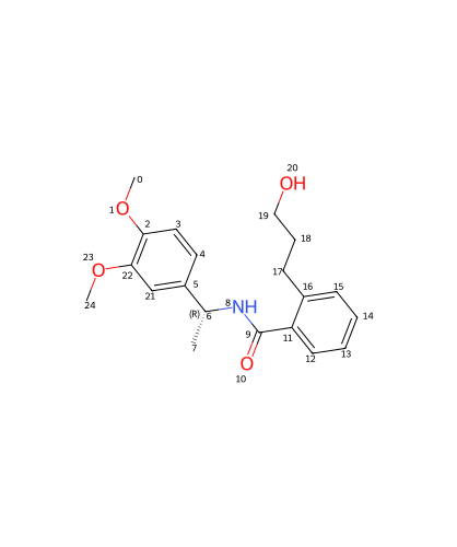 COc1ccc([C@@H](C)NC(=O)c2ccccc2CCCO)cc1OC